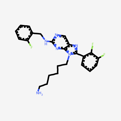 NCCCCCCn1c(-c2cccc(F)c2F)nc2cnc(NCc3ccccc3F)nc21